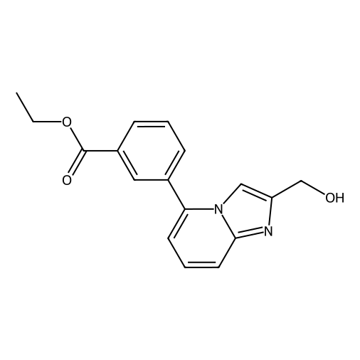 CCOC(=O)c1cccc(-c2cccc3nc(CO)cn23)c1